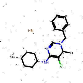 Br.CCC1C(Cl)=C(N[C@H]2CC[C@@H](C(C)(C)C)CC2)N=CN1Cc1ccccc1